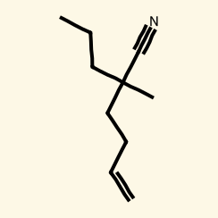 C=CCCC(C)(C#N)CCC